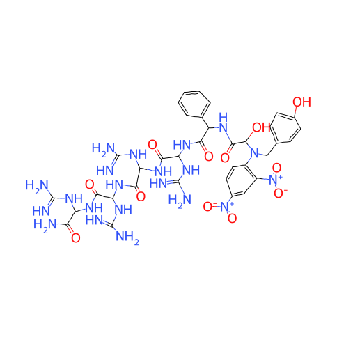 N=C(N)NC(NC(=O)C(NC(=N)N)NC(=O)C(NC(=N)N)NC(=O)C(NC(=N)N)NC(=O)C(NC(=O)C(O)N(Cc1ccc(O)cc1)c1ccc([N+](=O)[O-])cc1[N+](=O)[O-])c1ccccc1)C(N)=O